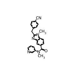 CN(C(=O)c1ccc2c(c1)nc(Cc1ccc(C#N)cc1)n2C)c1cccnc1